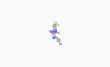 Cc1csc(NC(=S)N(Cc2cccc(Cl)c2Cl)C[C@H](CC(C)C)NC(=O)Cc2cncn2Cc2ccc(C#N)cc2)c1